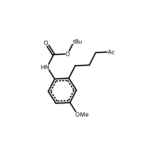 COc1ccc(NC(=O)OC(C)(C)C)c(CCCC(C)=O)c1